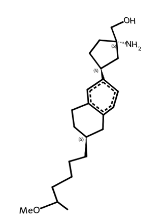 COC(C)CCCC[C@H]1CCc2cc([C@H]3CC[C@@](N)(CO)C3)ccc2C1